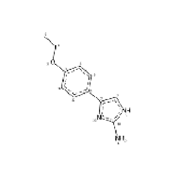 CCOc1ccc(-c2c[nH]c(N)n2)cc1